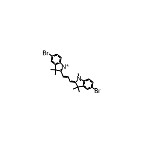 CN1/C(=C\C=C\C2=[N+](C)c3ccc(Br)cc3C2(C)C)C(C)(C)c2cc(Br)ccc21